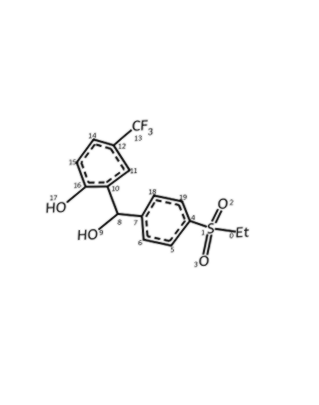 CCS(=O)(=O)c1ccc(C(O)c2cc(C(F)(F)F)ccc2O)cc1